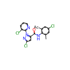 CC(=O)c1cc(Cl)cc(C)c1NC(=O)c1cc(Cl)nn1-c1ncccc1Cl